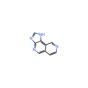 c1cc2cnc3nc[nH]c3c2cn1